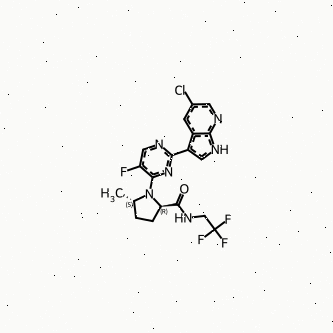 C[C@H]1CC[C@H](C(=O)NCC(F)(F)F)N1c1nc(-c2c[nH]c3ncc(Cl)cc23)ncc1F